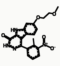 COCCOc1ccc2c(c1)[nH]c1c(=O)[nH]nc(-c3cccc([N+](=O)[O-])c3C)c12